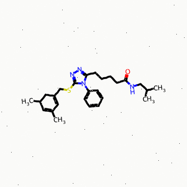 CC1=CC(C)CC(CSc2nnc(CCCCC(=O)NCC(C)C)n2-c2ccccc2)=C1